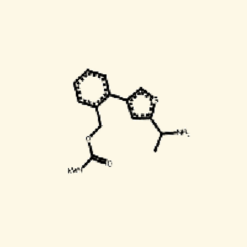 CNC(=O)OCc1ccccc1-c1csc(C(C)N)c1